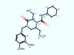 COc1ccc(CN2CC(CC(=O)O)N(C(=O)NC3CCCCC3)C(CC(C)C)C2=O)cc1OC